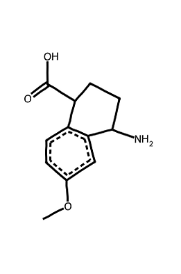 COc1ccc2c(c1)C(N)CCC2C(=O)O